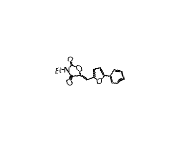 CCN1C(=O)O/C(=C\c2ccc(-c3ccccc3)o2)C1=O